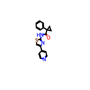 O=C(Nc1nc(-c2ccncc2)cs1)C1(c2ccccc2)CC1